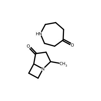 CC1CC(=O)C2CCN12.O=C1CCCNCC1